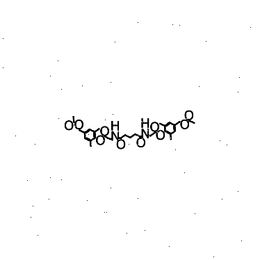 CC(=O)OCc1cc(C)c(OC(=O)CNC(=O)CCCC(=O)NCC(=O)Oc2c(C)cc(COC(C)=O)cc2C)c(C)c1